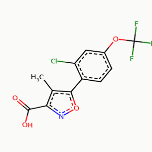 Cc1c(C(=O)O)noc1-c1ccc(OC(F)(F)F)cc1Cl